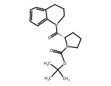 CC(C)(C)OC(=O)N1CCC[C@H]1C(=O)N1CCCc2ccccc21